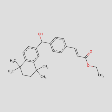 CCOC(=O)C=Cc1ccc(C(O)c2ccc3c(c2)C(C)(C)CCC3(C)C)cc1